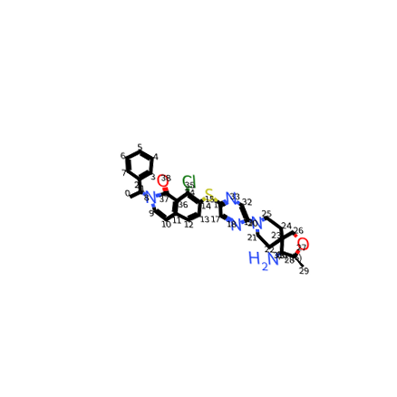 CC(c1ccccc1)n1ccc2ccc(Sc3cnc(N4CCC5(CC4)CO[C@@H](C)[C@H]5N)cn3)c(Cl)c2c1=O